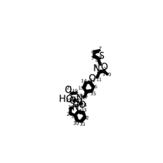 Cc1oc(-c2cccs2)nc1COc1ccc(CN(CC(=O)O)S(=O)(=O)N2CCc3ccccc32)cc1